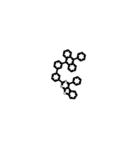 c1ccc(-c2c3ccccc3c(-c3cccc(-c4cccc(-c5nc(-c6ccccc6)c6c(n5)oc5ccccc56)c4)c3)c3ccccc23)cc1